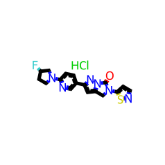 Cl.O=C1N(c2ccns2)Cc2cc(-c3ccc(N4CCC(F)C4)nc3)nn21